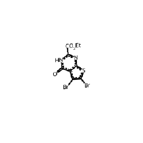 CCOC(=O)c1nc2sc(Br)c(Br)c2c(=O)[nH]1